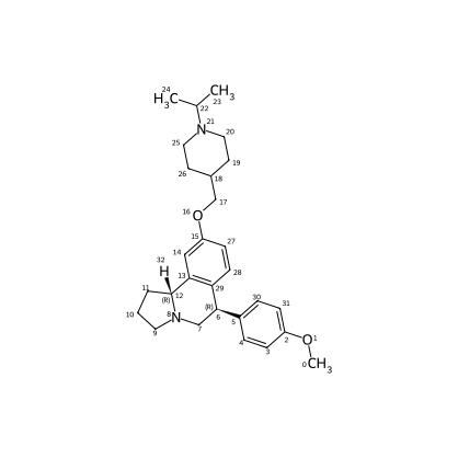 COc1ccc([C@H]2CN3CCC[C@@H]3c3cc(OCC4CCN(C(C)C)CC4)ccc32)cc1